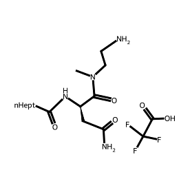 CCCCCCCC(=O)N[C@H](CC(N)=O)C(=O)N(C)CCN.O=C(O)C(F)(F)F